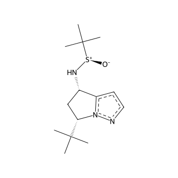 CC(C)(C)[C@@H]1C[C@H](N[S@+]([O-])C(C)(C)C)c2ccnn21